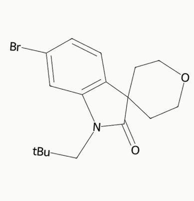 CC(C)(C)CN1C(=O)C2(CCOCC2)c2ccc(Br)cc21